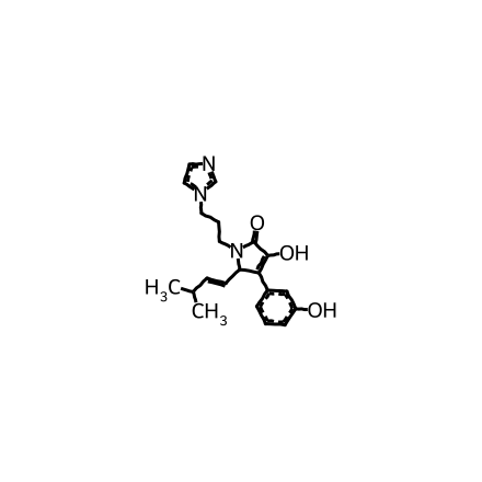 CC(C)/C=C/C1C(c2cccc(O)c2)=C(O)C(=O)N1CCCn1ccnc1